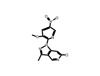 COc1cc([N+](=O)[O-])cnc1-n1nc(C)c2cnc(Cl)cc21